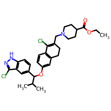 CCOC(=O)C1CCN(CC2=C(Cl)c3ccc(OC(c4ccc5[nH]nc(Cl)c5c4)C(C)C)cc3CC2)CC1